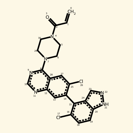 C=CC(=O)N1CCN(c2ncnc3cc(-c4c(Cl)ccc5[nH]ncc45)c(Cl)cc23)CC1